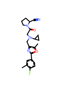 Cc1cc(-c2nc(CN(CC(=O)N3CCCC3C#N)C3CC3)c(C)o2)ccc1F